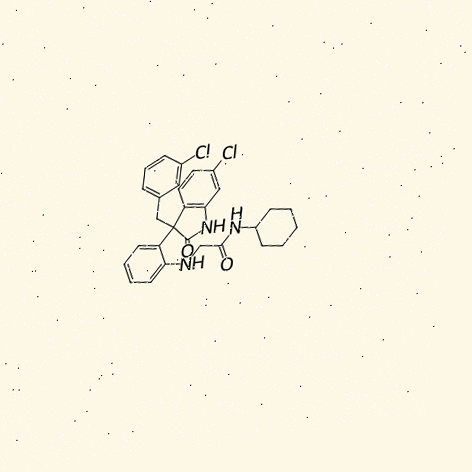 O=C(CNc1ccccc1C1(Cc2cccc(Cl)c2)C(=O)Nc2cc(Cl)ccc21)NC1CCCCC1